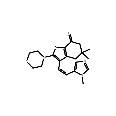 Cn1cncc1/C=C\c1c(N2CCOCC2)sc2c1CC(C)(C)CC2=O